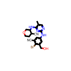 Cc1cnc(Nc2cc(C#N)c(Br)c(CO)c2)nc1NC1COCCC1C#N